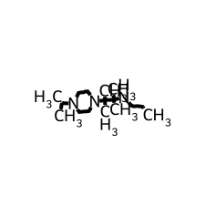 CCCNC(C)(C)C(C)(C)N1CCN(C(C)C)CC1